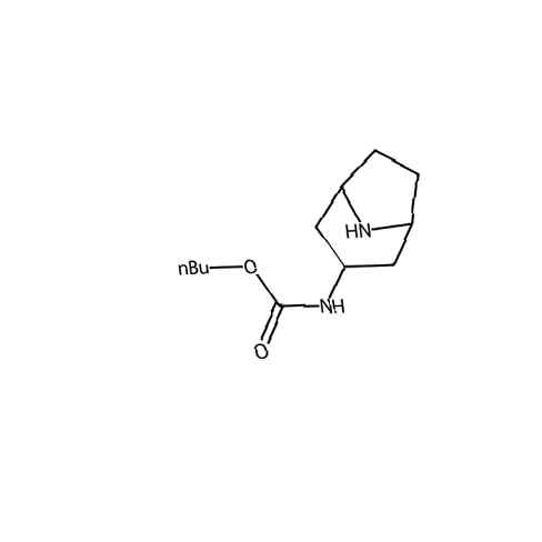 CCCCOC(=O)NC1CC2CCC(C1)N2